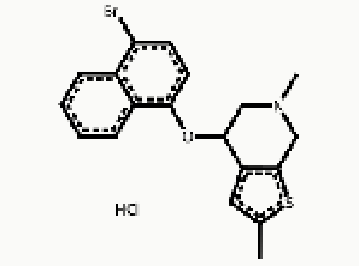 Cc1cc2c(s1)CN(C)CC2Oc1ccc(Br)c2ccccc12.Cl